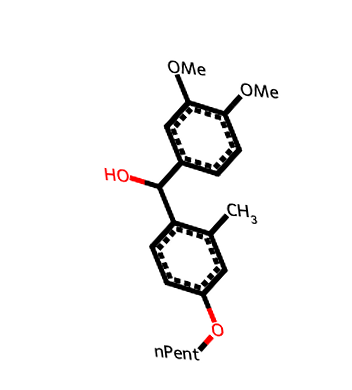 CCCCCOc1ccc(C(O)c2ccc(OC)c(OC)c2)c(C)c1